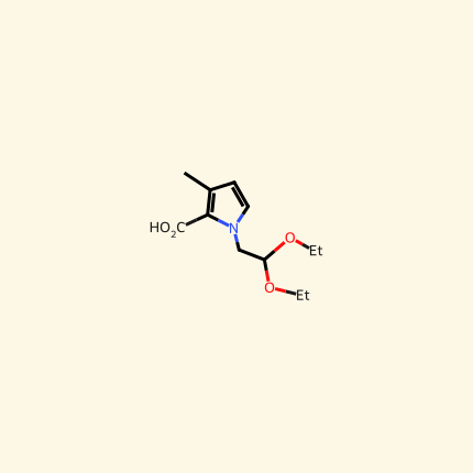 CCOC(Cn1ccc(C)c1C(=O)O)OCC